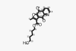 Cc1oc2c(c1C(=O)OCCCCCO)C(=O)c1ncccc1C2=O